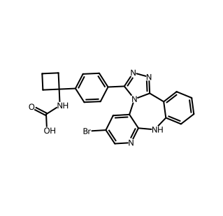 O=C(O)NC1(c2ccc(-c3nnc4n3-c3cc(Br)cnc3Nc3ccccc3-4)cc2)CCC1